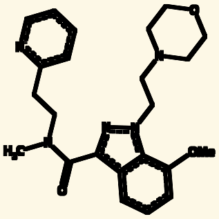 COc1cccc2c(C(=O)N(C)CCc3ccccn3)nn(CCN3CCOCC3)c12